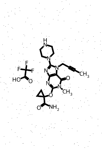 CC#CCn1c(N2CCNCC2)nc2nc(OC3(C(N)=O)CC3)n(C)c(=O)c21.O=C(O)C(F)(F)F